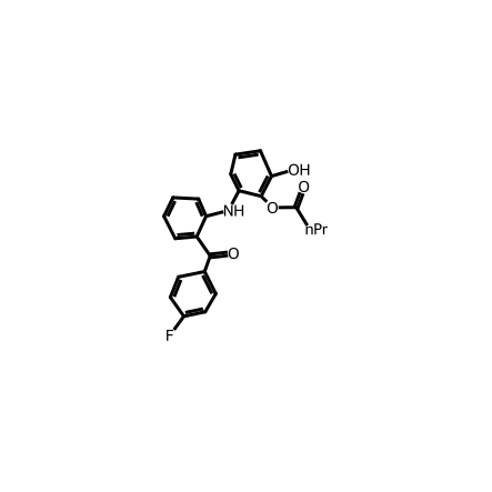 CCCC(=O)Oc1c(O)cccc1Nc1ccccc1C(=O)c1ccc(F)cc1